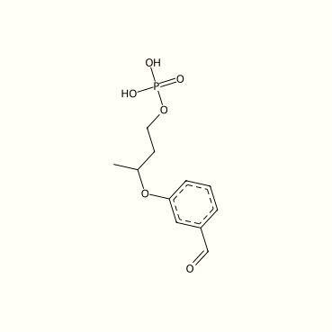 CC(CCOP(=O)(O)O)Oc1cccc(C=O)c1